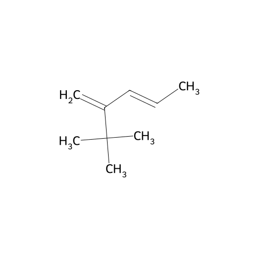 C=C(/C=C/C)C(C)(C)C